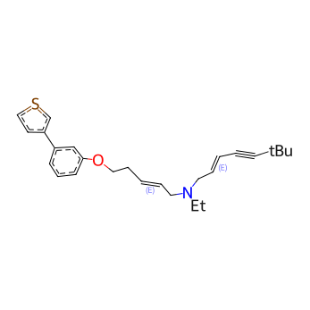 CCN(C/C=C/C#CC(C)(C)C)C/C=C/CCOc1cccc(-c2ccsc2)c1